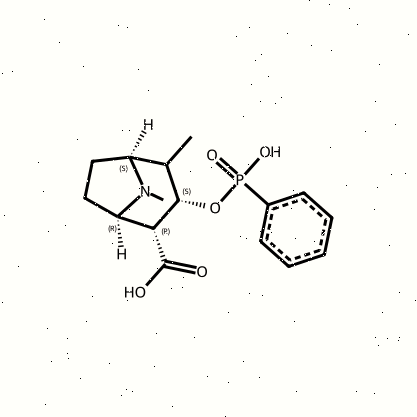 CC1[C@H](OP(=O)(O)c2ccccc2)[C@H](C(=O)O)[C@H]2CC[C@@H]1N2C